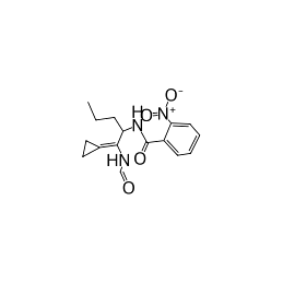 CCCC(NC(=O)c1ccccc1[N+](=O)[O-])C(NC=O)=C1CC1